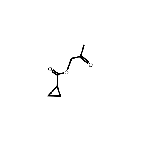 CC(=O)COC(=O)C1CC1